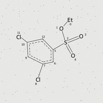 CCOS(=O)(=O)c1cc(Cl)cc(Cl)c1